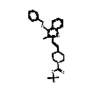 Cc1c(/C=C/C2CCN(C(=O)OC(C)(C)C)CC2)nc2ccccc2c1OCc1ccccc1